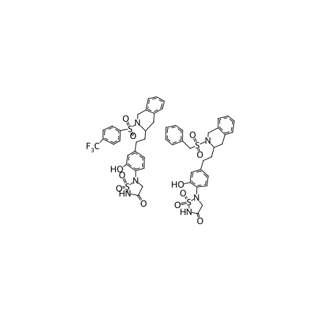 O=C1CN(c2ccc(CCC3Cc4ccccc4CN3S(=O)(=O)Cc3ccccc3)cc2O)S(=O)(=O)N1.O=C1CN(c2ccc(CCC3Cc4ccccc4CN3S(=O)(=O)c3ccc(C(F)(F)F)cc3)cc2O)S(=O)(=O)N1